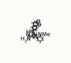 CN[C@H]1CCCC[C@@H]1n1cc(C(N)=O)c(Nc2ccc3c(c2)C=CS3(=O)=O)n1